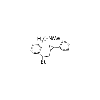 CCC(CC1CC1c1ccccc1)c1ccccc1.CNC